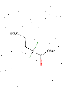 COC(=O)C(F)(F)CCC(=O)O